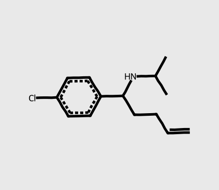 C=CCCC(NC(C)C)c1ccc(Cl)cc1